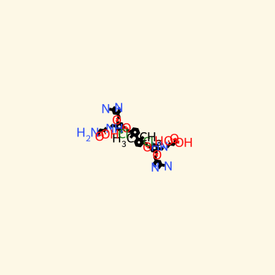 Cc1c(COc2cc(OCc3cncc(C#N)c3)c(CNC[C@@H](O)CC(N)=O)cc2Cl)cccc1-c1cccc(COc2cc(OCc3cncc(C#N)c3)c(CNC[C@@H](O)CC(=O)O)cc2Cl)c1C